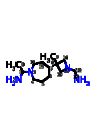 CC(N)N1CCC[C@@H](C2(C)CN(CN)C2)CC1